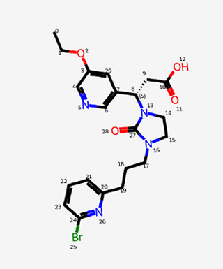 CCOc1cncc([C@H](CC(=O)O)N2CCN(CCCc3cccc(Br)n3)C2=O)c1